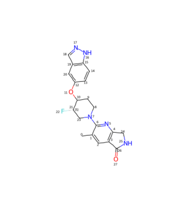 Cc1cc2c(nc1N1CCC(Oc3ccc4[nH]ncc4c3)[C@@H](F)C1)CNC2=O